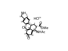 COC(=O)[C@H]1C[C@H](c2ccc(CN)cc2)c2c(Cl)cc(Cl)cc2N1NC(C)=O.Cl